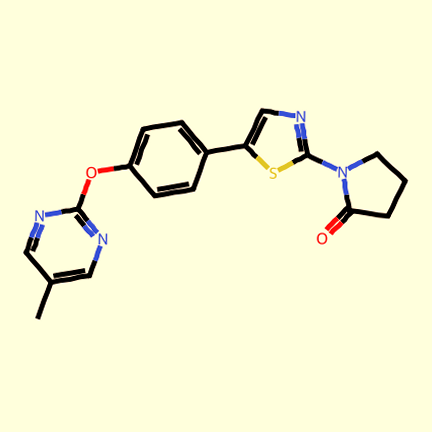 Cc1cnc(Oc2ccc(-c3cnc(N4CCCC4=O)s3)cc2)nc1